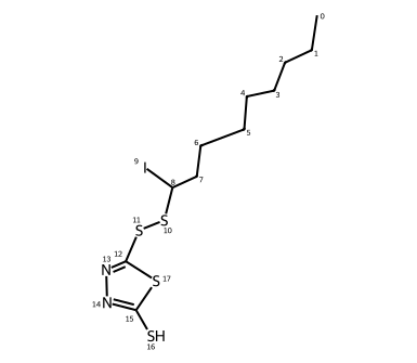 CCCCCCCCC(I)SSc1nnc(S)s1